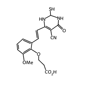 COc1cccc(/C=C/C2=C(C#N)C(=O)NC(S)N2)c1OCCC(=O)O